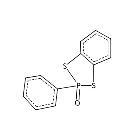 O=P1(c2ccccc2)Sc2ccccc2S1